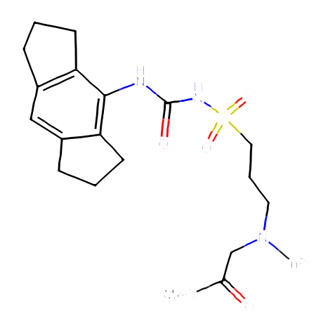 CCCN(CCCS(=O)(=O)NC(=O)Nc1c2c(cc3c1CCC3)CCC2)CC(=O)OC